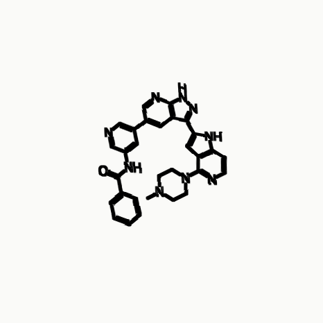 CN1CCN(c2nccc3[nH]c(-c4n[nH]c5ncc(-c6cncc(NC(=O)c7ccccc7)c6)cc45)cc23)CC1